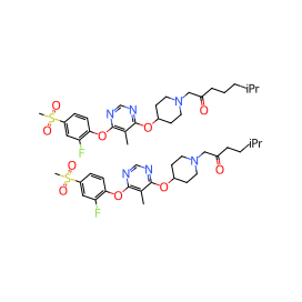 Cc1c(Oc2ccc(S(C)(=O)=O)cc2F)ncnc1OC1CCN(CC(=O)CCC(C)C)CC1.Cc1c(Oc2ccc(S(C)(=O)=O)cc2F)ncnc1OC1CCN(CC(=O)CCCC(C)C)CC1